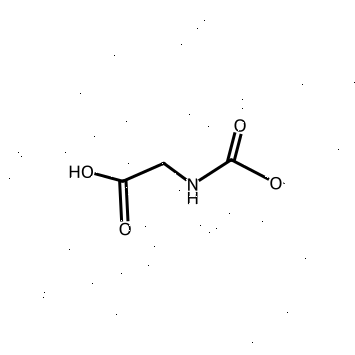 [O]C(=O)NCC(=O)O